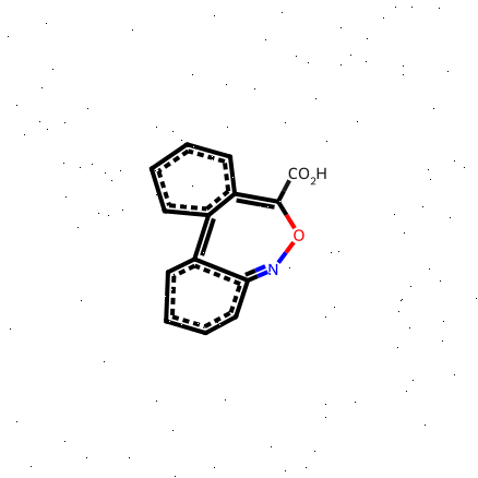 O=C(O)C1=c2ccccc2=c2ccccc2=NO1